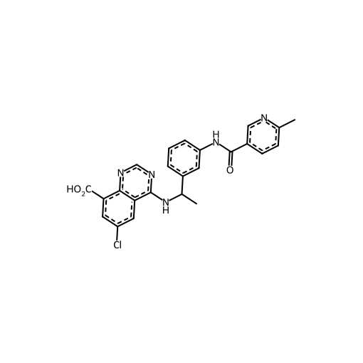 Cc1ccc(C(=O)Nc2cccc(C(C)Nc3ncnc4c(C(=O)O)cc(Cl)cc34)c2)cn1